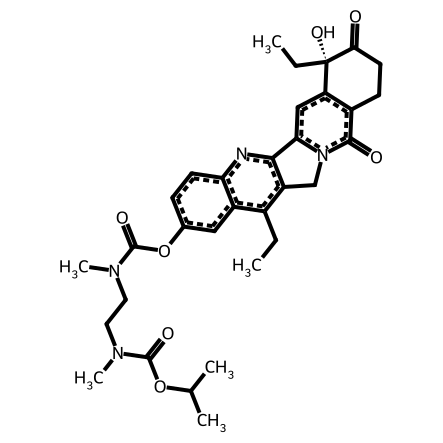 CCc1c2c(nc3ccc(OC(=O)N(C)CCN(C)C(=O)OC(C)C)cc13)-c1cc3c(c(=O)n1C2)CCC(=O)[C@]3(O)CC